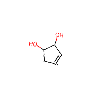 OC1[CH][C]=CC1O